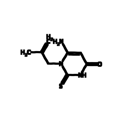 C=C(C)Cn1c(N)cc(=O)[nH]c1=S